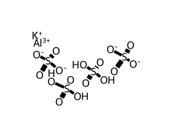 O=S(=O)(O)O.O=S(=O)(O)O.O=S(=O)([O-])[O-].O=S(=O)([O-])[O-].[Al+3].[K+]